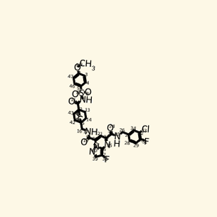 COc1ccc(S(=O)(=O)NC(=O)C23CCC(CNC(=O)c4cc(C(=O)NCc5ccc(F)c(Cl)c5)nc5c(F)cnn45)(CC2)CC3)cc1